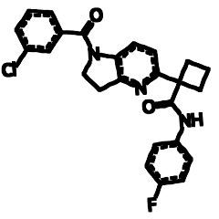 O=C(c1cccc(Cl)c1)N1CCc2nc(C3(C(=O)Nc4ccc(F)cc4)CCC3)ccc21